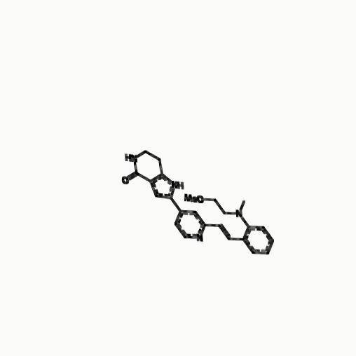 COCCN(C)c1ccccc1C=Cc1cc(-c2cc3c([nH]2)CCNC3=O)ccn1